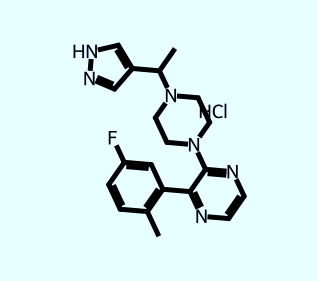 Cc1ccc(F)cc1-c1nccnc1N1CCN(C(C)c2cn[nH]c2)CC1.Cl